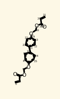 C=CC(=O)OCOc1ccc(-c2ccc(OCOC(=O)C=C)cc2)cc1